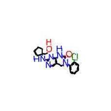 O=C1Nc2nc(NC3(CO)CCCC3)ncc2CN1c1ccccc1Cl